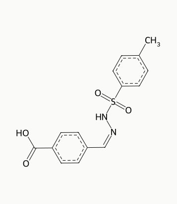 Cc1ccc(S(=O)(=O)N/N=C\c2ccc(C(=O)O)cc2)cc1